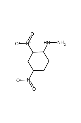 NNC1CCC([N+](=O)[O-])CC1[N+](=O)[O-]